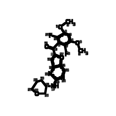 COc1cc(OC)c(F)c(C(=O)c2cc3nc(N[C@H]4CCCOC4)ncc3o2)c1F